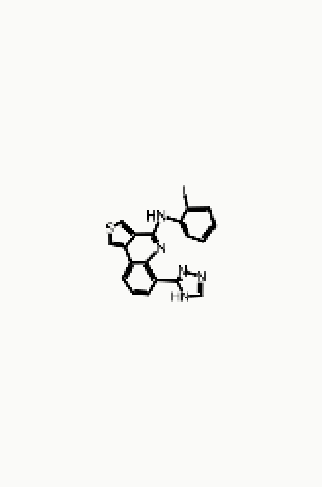 Ic1ccccc1Nc1nc2c(-c3nnc[nH]3)cccc2c2cscc12